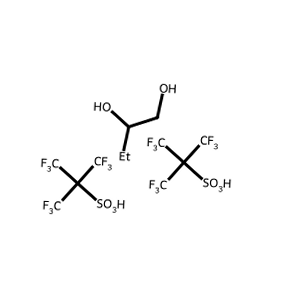 CCC(O)CO.O=S(=O)(O)C(C(F)(F)F)(C(F)(F)F)C(F)(F)F.O=S(=O)(O)C(C(F)(F)F)(C(F)(F)F)C(F)(F)F